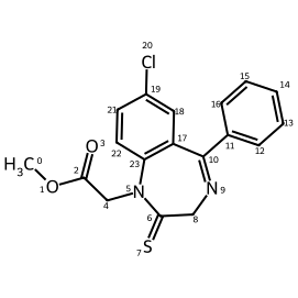 COC(=O)CN1C(=S)CN=C(c2ccccc2)c2cc(Cl)ccc21